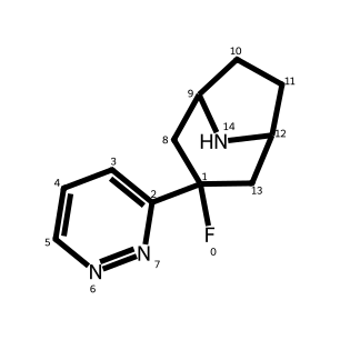 FC1(c2cccnn2)CC2CCC(C1)N2